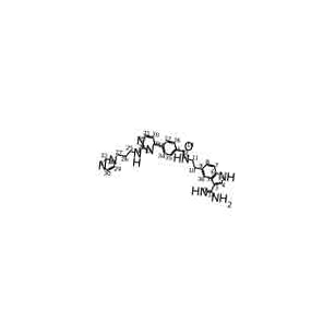 N=C(N)c1c[nH]c2ccc(CCNC(=O)c3ccc(-c4ccnc(NCCCn5ccnc5)n4)cc3)cc12